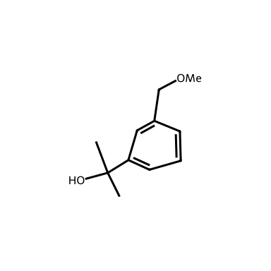 COCc1cccc(C(C)(C)O)c1